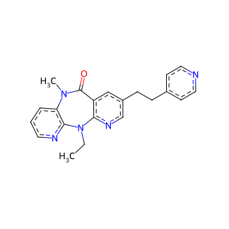 CCN1c2ncc(CCc3ccncc3)cc2C(=O)N(C)c2cccnc21